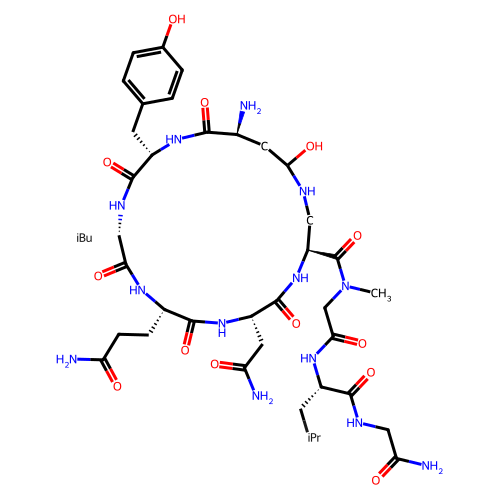 CC[C@H](C)[C@@H]1NC(=O)[C@H](Cc2ccc(O)cc2)NC(=O)[C@@H](N)CC(O)NC[C@@H](C(=O)N(C)CC(=O)N[C@@H](CC(C)C)C(=O)NCC(N)=O)NC(=O)[C@H](CC(N)=O)NC(=O)[C@H](CCC(N)=O)NC1=O